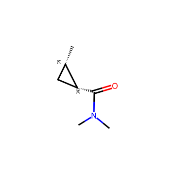 C[C@H]1C[C@H]1C(=O)N(C)C